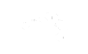 O=C1Nc2ccc(S(=O)(=O)NCc3ccc(Cl)cc3)cc2/C1=N/Nc1ccccc1C(=O)O